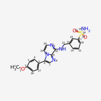 COc1ccc(-c2cnc3c(NCc4cccc(S(N)(=O)=O)c4)nccn23)cc1